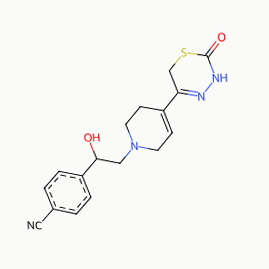 N#Cc1ccc(C(O)CN2CC=C(C3=NNC(=O)SC3)CC2)cc1